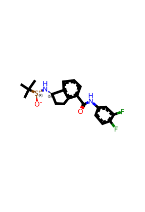 CC(C)(C)[S@+]([O-])N[C@H]1CCc2c(C(=O)Nc3ccc(F)c(F)c3)cccc21